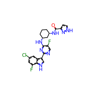 O=C(N[C@@H]1CCC[C@H](Nc2nc(-c3c[nH]c4c(F)cc(Cl)cc34)ncc2F)C1)c1cc[nH]n1